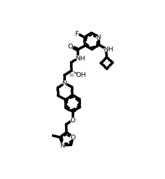 Cc1ncoc1COc1ccc2c(c1)CCN(C[C@@H](O)CNC(=O)c1cc(NC3CCC3)ncc1F)C2